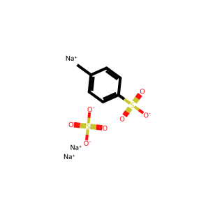 Cc1ccc(S(=O)(=O)[O-])cc1.O=S(=O)([O-])[O-].[Na+].[Na+].[Na+]